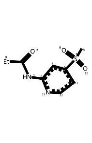 CCC(=O)Nc1cc(S(C)(=O)=O)ccn1